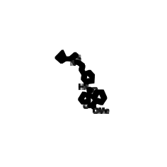 COC(=O)c1ccccc1C1(C(=O)Nc2cccc(C=Cc3nc(C4CCC4)cs3)c2)CCCC1